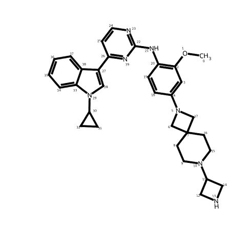 COc1cc(N2CC3(CCN(C4CNC4)CC3)C2)ccc1Nc1nccc(-c2cn(C3CC3)c3ccccc23)n1